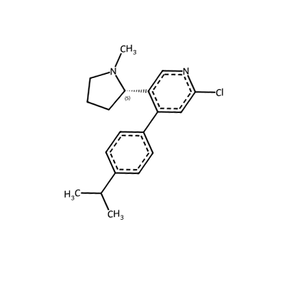 CC(C)c1ccc(-c2cc(Cl)ncc2[C@@H]2CCCN2C)cc1